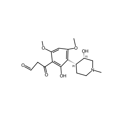 COc1cc(OC)c([C@H]2CCN(C)C[C@H]2O)c(O)c1C(=O)CC=O